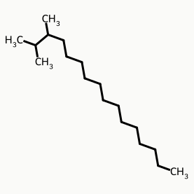 CCCCCCCCCCCCCC(C)C(C)C